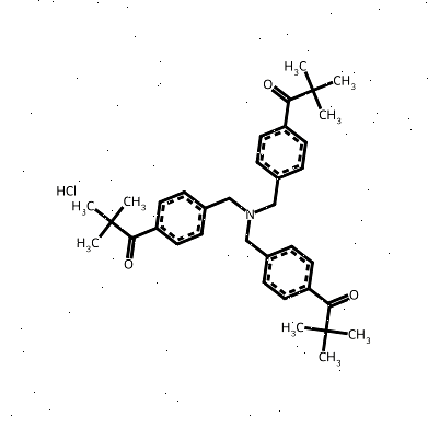 CC(C)(C)C(=O)c1ccc(CN(Cc2ccc(C(=O)C(C)(C)C)cc2)Cc2ccc(C(=O)C(C)(C)C)cc2)cc1.Cl